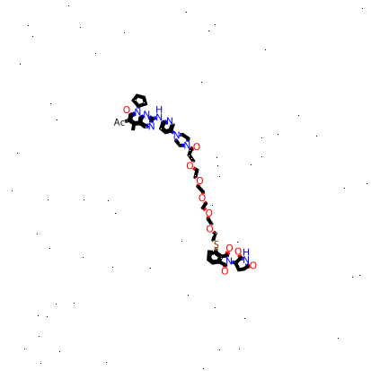 CC(=O)c1c(C)c2cnc(Nc3ccc(N4CCN(C(=O)CCOCCOCCOCCOCCOCCSc5cccc6c5C(=O)N(C5CCC(=O)NC5=O)C6=O)CC4)cn3)nc2n(C2CCCC2)c1=O